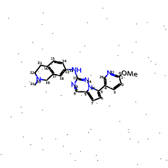 COc1ccc(-c2ccc3cnc(Nc4ccc5c(c4)CN(C)CC5)nn23)cn1